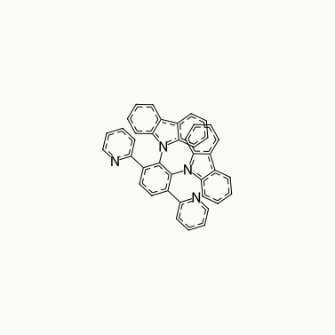 c1ccc(-c2ccc(-c3ccccn3)c(-n3c4ccccc4c4ccccc43)c2-n2c3ccccc3c3ccccc32)nc1